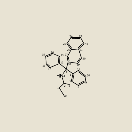 CCC(C)NC(c1ccccc1)(c1ccccc1)c1ccc2ccccc2c1